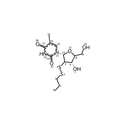 CCCSSC1[C@@H](O)C(CO)O[C@H]1n1cc(C)c(=O)[nH]c1=O